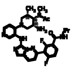 CC(=O)N(C)[C@@H]1[C@H](N)CN(c2ccncc2Nc2ncc3ccc(-c4c(F)ccc(C(=O)NC(C)C)c4F)nn23)C[C@@H]1C